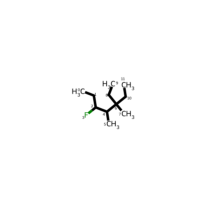 CCC(F)C(C)C(C)(CC)CC